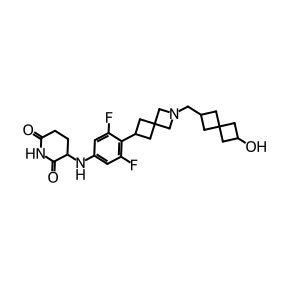 O=C1CCC(Nc2cc(F)c(C3CC4(C3)CN(CC3CC5(CC(O)C5)C3)C4)c(F)c2)C(=O)N1